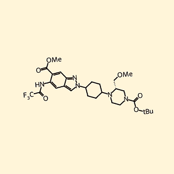 COC[C@@H]1CN(C(=O)OC(C)(C)C)CCN1C1CCC(n2cc3cc(NC(=O)C(F)(F)F)c(C(=O)OC)cc3n2)CC1